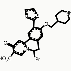 CC(C)C1Cc2cc(OCC3CCNCC3)c(-c3nccs3)cc2-c2cc(=O)c(C(=O)O)cn21